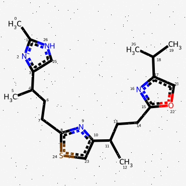 Cc1nc(C(C)CCc2nc(C(C)CCc3nc(C(C)C)co3)cs2)c[nH]1